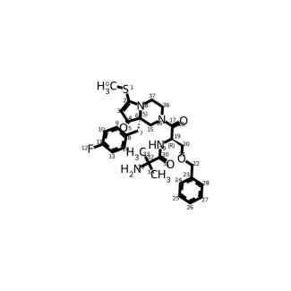 CSC1=CC(=O)[C@]2(Cc3ccc(F)cc3)CN(C(=O)[C@@H](COCc3ccccc3)NC(=O)C(C)(C)N)CCN12